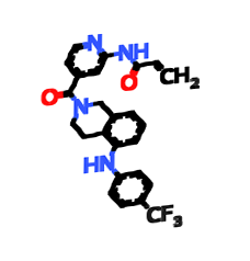 C=CC(=O)Nc1cc(C(=O)N2CCc3c(cccc3Nc3ccc(C(F)(F)F)cc3)C2)ccn1